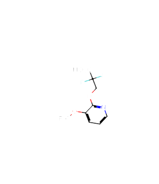 O=C(O)C(F)(F)COc1ncccc1OC(F)(F)F